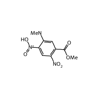 CNc1cc(C(=O)OC)c([N+](=O)[O-])cc1[N+](=O)O